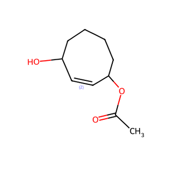 CC(=O)OC1/C=C\C(O)CCCC1